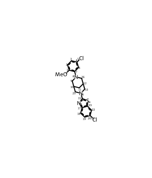 COc1[c]cc(Cl)cc1N1CC2CC(CN(c3nc4ccc(Cl)cc4s3)C2)C1